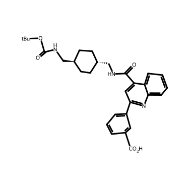 CC(C)(C)OC(=O)NC[C@H]1CC[C@H](CNC(=O)c2cc(-c3cccc(C(=O)O)c3)nc3ccccc23)CC1